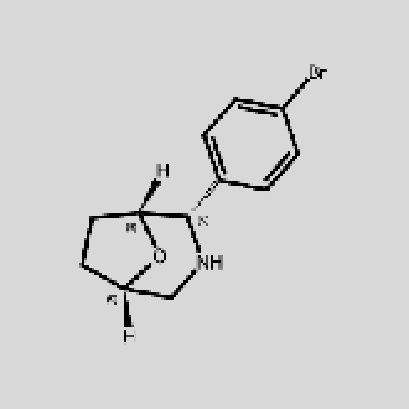 Brc1ccc([C@@H]2NC[C@@H]3CC[C@H]2O3)cc1